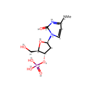 CNc1ccn([C@H]2C[C@H](OP(=O)(O)O)[C@@H](CO)O2)c(=O)n1